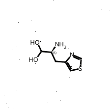 N[C@@H](Cc1cscn1)C(O)O